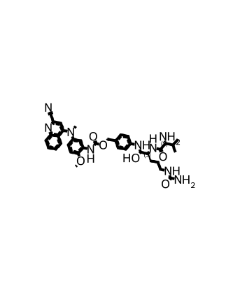 COc1ccc(N(C)c2cc(C#N)nc3ccccc23)cc1NC(=O)OCc1ccc(NC(O)[C@H](CCCNC(N)=O)NC(=O)[C@@H](N)C(C)C)cc1